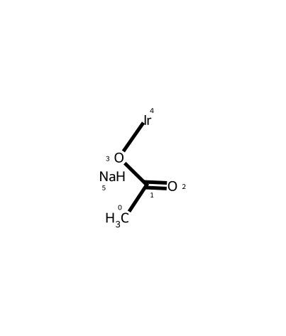 CC(=O)[O][Ir].[NaH]